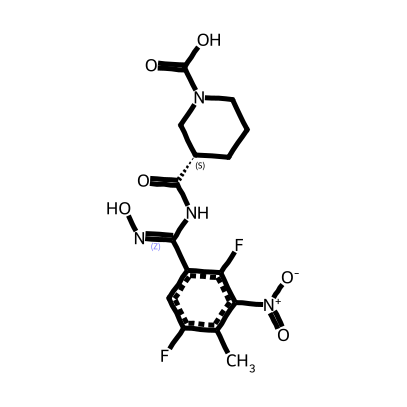 Cc1c(F)cc(/C(=N/O)NC(=O)[C@H]2CCCN(C(=O)O)C2)c(F)c1[N+](=O)[O-]